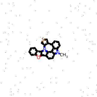 Cn1c2cccc3c4cscc4n4c5c6ccccc6oc5c5ccc1c(c32)c54